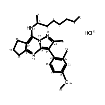 CCCCCCC(C)Nc1c2c(nc3c(-c4ccc(OC)cc4C)c(C)nn13)CCC2.Cl